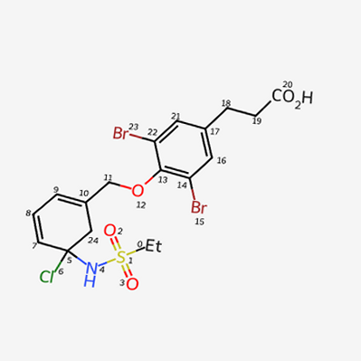 CCS(=O)(=O)NC1(Cl)C=CC=C(COc2c(Br)cc(CCC(=O)O)cc2Br)C1